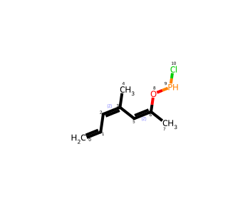 C=C/C=C(C)\C=C(\C)OPCl